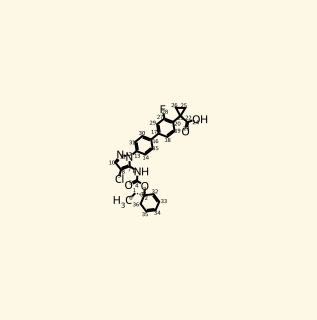 CC[C@]1(OC(=O)Nc2c(Cl)cnn2-c2ccc(-c3ccc(C4(C(=O)O)CC4)c(F)c3)cc2)C=CC=CC1